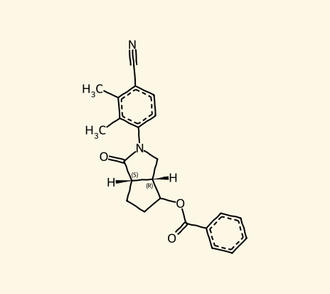 Cc1c(C#N)ccc(N2C[C@@H]3C(OC(=O)c4ccccc4)CC[C@@H]3C2=O)c1C